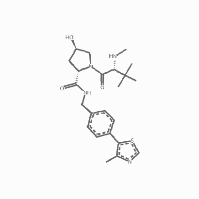 CN[C@@H](C(=O)N1C[C@H](O)C[C@H]1C(=O)NCc1ccc(-c2scnc2C)cc1)C(C)(C)C